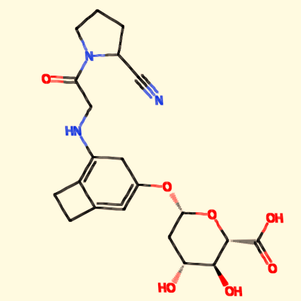 N#CC1CCCN1C(=O)CNC1=C2CCC2=C=C(O[C@H]2C[C@@H](O)[C@H](O)[C@@H](C(=O)O)O2)C1